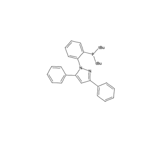 CC(C)(C)P(c1ccccc1-n1nc(-c2ccccc2)cc1-c1ccccc1)C(C)(C)C